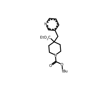 CCOC(=O)C1(Cc2cccnc2)CCN(C(=O)OC(C)(C)C)CC1